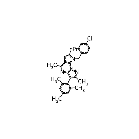 CCCc1cc2c(C)nc3c(-c4c(C)cc(C)cc4C)c(C)nn3c2n1Cc1ccc(Cl)cc1